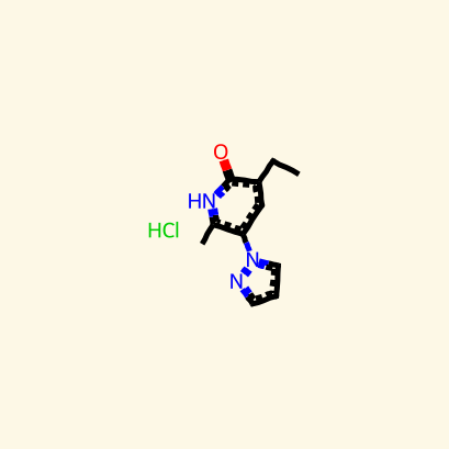 CCc1cc(-n2cccn2)c(C)[nH]c1=O.Cl